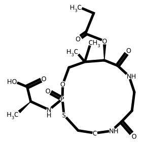 CCC(=O)O[C@H]1C(=O)NCCC(=O)NCCSP(=O)(N[C@@H](C)C(=O)O)OCC1(C)C